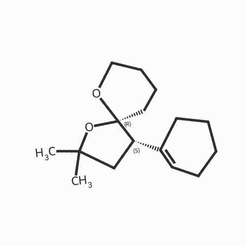 CC1(C)C[C@@H](C2=CCCCC2)[C@@]2(CCCCO2)O1